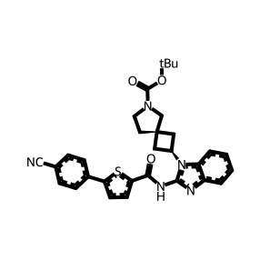 CC(C)(C)OC(=O)N1CC[C@]2(C1)C[C@H](n1c(NC(=O)c3ccc(-c4ccc(C#N)cc4)s3)nc3ccccc31)C2